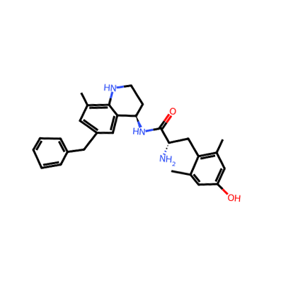 Cc1cc(O)cc(C)c1C[C@H](N)C(=O)N[C@@H]1CCNc2c(C)cc(Cc3ccccc3)cc21